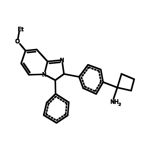 CCOC1=CC2=NC(c3ccc(C4(N)CCC4)cc3)C(c3ccccc3)N2C=C1